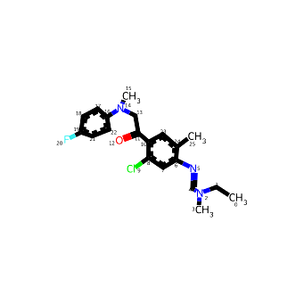 CCN(C)C=Nc1cc(Cl)c(C(=O)CN(C)c2ccc(F)cc2)cc1C